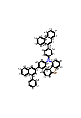 c1ccc(-c2cc(-c3ccc(N(c4ccc(-c5cc6ccccc6c6ccccc56)cc4)c4cccc5sc6ccccc6c45)cc3)cc3ccccc23)cc1